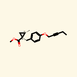 CCC#CCOc1ccc(C[C@]2(C(=O)OC)C[C@@H]2C)cc1